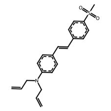 C=CCN(CC=C)c1ccc(/C=C/c2ccc(S(C)(=O)=O)cc2)cc1